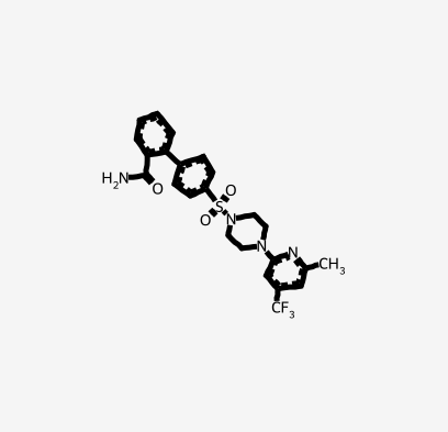 Cc1cc(C(F)(F)F)cc(N2CCN(S(=O)(=O)c3ccc(-c4ccccc4C(N)=O)cc3)CC2)n1